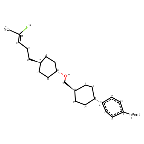 CCCCCc1ccc([C@H]2CC[C@H](CO[C@H]3CC[C@H](CCC=C(F)C#N)CC3)CC2)cc1